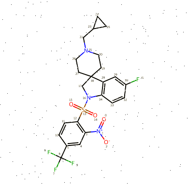 O=[N+]([O-])c1cc(C(F)(F)F)ccc1S(=O)(=O)N1CC2(CCN(CC3CC3)CC2)c2cc(F)ccc21